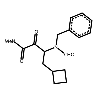 CNC(=O)C(=O)C(CC1CCC1)N(C=O)Cc1ccccc1